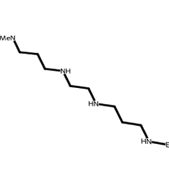 CCNCCCNCCNCCCNC